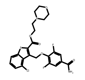 NC(=O)c1cc(F)c(OCc2c(C(=O)OCCN3CCOCC3)sc3cccc(Cl)c23)c(F)c1